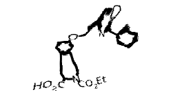 CCOC(=O)N1Cc2cc(OCCc3coc(-c4ccccc4)n3)ccc2CC1C(=O)O